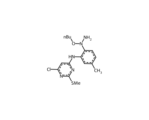 CCCCON(N)c1ccc(C)cc1Nc1cc(Cl)nc(SC)n1